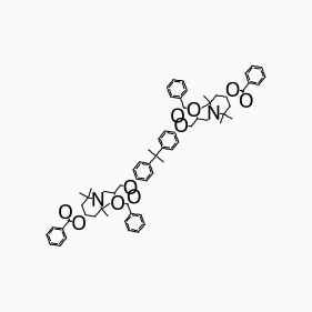 CC(C)(c1ccc(OCC(CN2C(C)(C)CC(OC(=O)c3ccccc3)CC2(C)C)OC(=O)c2ccccc2)cc1)c1ccc(OCC(CN2C(C)(C)CC(OC(=O)c3ccccc3)CC2(C)C)OC(=O)c2ccccc2)cc1